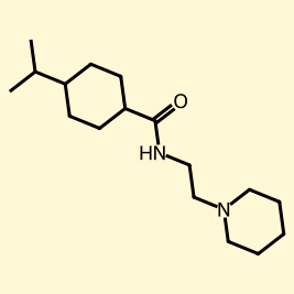 CC(C)C1CCC(C(=O)NCCN2CCCCC2)CC1